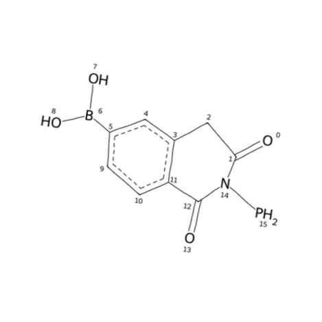 O=C1Cc2cc(B(O)O)ccc2C(=O)N1P